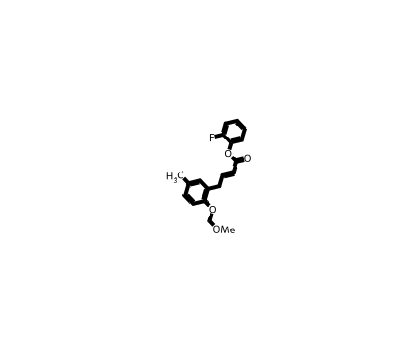 COCOc1ccc(C)cc1CC=CC(=O)Oc1ccccc1F